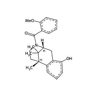 COc1ccccc1C(=O)N1CC[C@@]2(C)c3cccc(O)c3C[C@@H]1C2(C)C